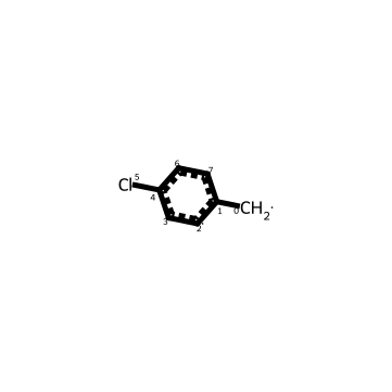 [CH2]c1[c]cc(Cl)cc1